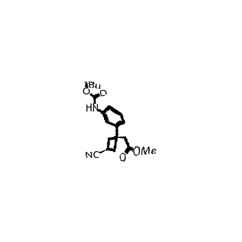 COC(=O)C[C@]1(c2cccc(NC(=O)OC(C)(C)C)c2)C[C@H](C#N)C1